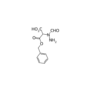 NN(C=O)C(C(=O)O)C(=O)OCc1ccccc1